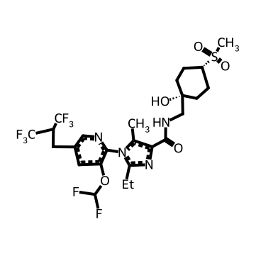 CCc1nc(C(=O)NC[C@]2(O)CC[C@@H](S(C)(=O)=O)CC2)c(C)n1-c1ncc(CC(C(F)(F)F)C(F)(F)F)cc1OC(F)F